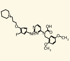 COc1ccc(OC)c(CN(C(=O)O)c2ccnc(Nc3ccc(OCCCN4CCCCC4)c(F)c3)n2)c1